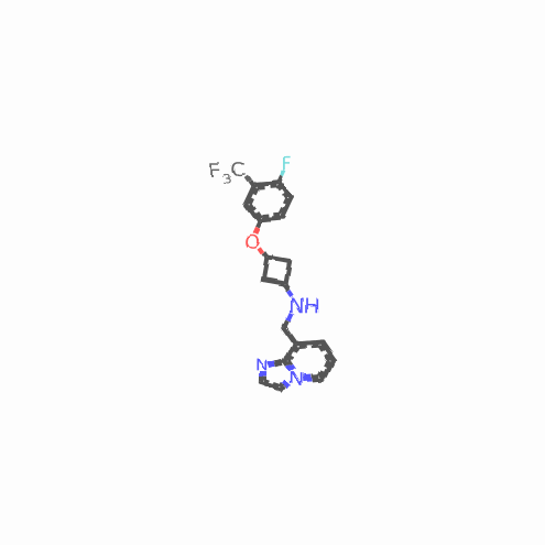 Fc1ccc(OC2CC(NCc3cccn4ccnc34)C2)cc1C(F)(F)F